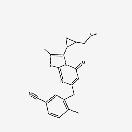 Cc1ccc(C#N)cc1Cc1cc(=O)n2c(C3CC3CO)c(C)sc2n1